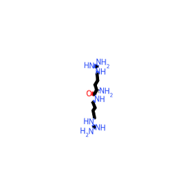 N=C(N)NCCCCNC(=O)[C@@H](N)CCCNC(=N)N